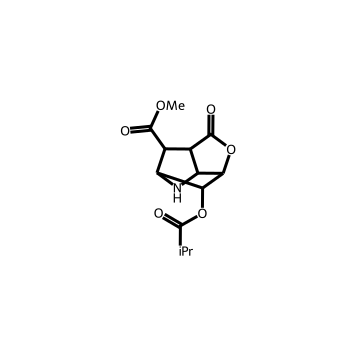 COC(=O)C1C2NC3C(OC(=O)C31)C2OC(=O)C(C)C